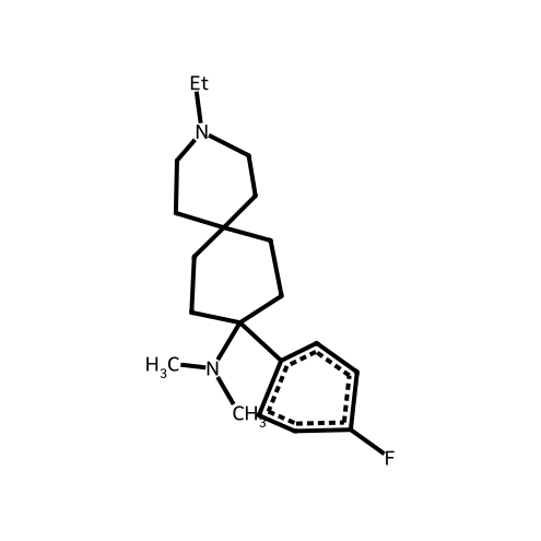 CCN1CCC2(CC1)CCC(c1ccc(F)cc1)(N(C)C)CC2